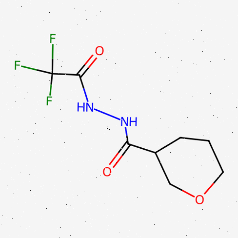 O=C(NNC(=O)C(F)(F)F)C1CCCOC1